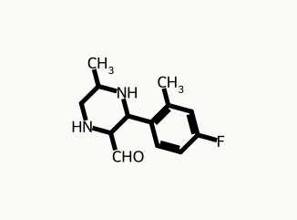 Cc1cc(F)ccc1C1NC(C)CNC1C=O